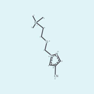 C[Si](C)(C)CCOCn1cc(C#N)cn1